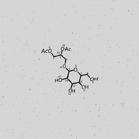 CC(=O)OC[C@H](COC1OC(CO)C(O)C(O)C1O)OC(C)=O